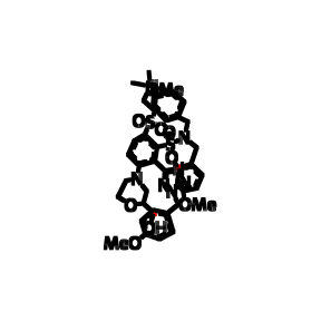 COc1ccc(CN(Cc2ccc(OC)cc2)S(=O)(=O)c2c(S(=O)(=O)CC[Si](C)(C)C)ccc(N3CCOC(CO)C3)c2-c2nnn(Cc3ccc(OC)cc3)n2)cc1